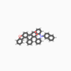 c1ccc(N(c2ccc3ccccc3c2)c2ccccc2-c2cccc3c4ccc5oc6ccccc6c5c4c4ccccc4c23)cc1